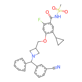 CS(=O)(=O)NC(=O)c1cc(C2CC2)c(OCC2CN(C(c3ccccc3)c3cccc(C#N)c3)C2)cc1F